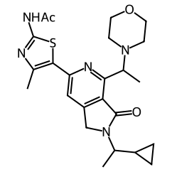 CC(=O)Nc1nc(C)c(-c2cc3c(c(C(C)N4CCOCC4)n2)C(=O)N(C(C)C2CC2)C3)s1